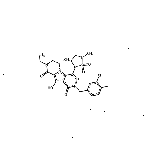 CCN1C[C@H](C)n2c(c(O)c3c(=O)n(Cc4ccc(F)c(Cl)c4)nc(N4CCN(C)S4(=O)=O)c32)C1=O